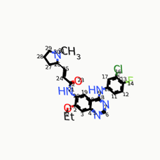 CCOc1cc2ncnc(Nc3ccc(F)c(Cl)c3)c2cc1NC(=O)C=C[C@H]1CCCN1C